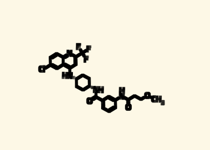 COCCC(=O)Nc1cccc(C(=O)N[C@H]2CC[C@@H](Nc3cc(C(F)(F)F)nc4ccc(Cl)cc34)CC2)c1